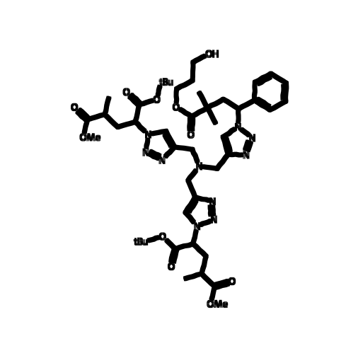 COC(=O)C(C)CC(C(=O)OC(C)(C)C)n1cc(CN(Cc2cn(C(CC(C)C(=O)OC)C(=O)OC(C)(C)C)nn2)Cc2cn(C(CC(C)(C)C(=O)OCCCO)c3ccccc3)nn2)nn1